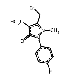 Cn1c(CBr)c(C(=O)O)c(=O)n1-c1ccc(F)cc1